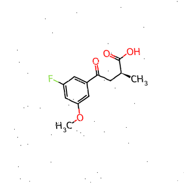 COc1cc(F)cc(C(=O)C[C@H](C)C(=O)O)c1